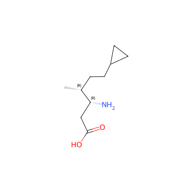 C[C@H](CCC1CC1)[C@H](N)CC(=O)O